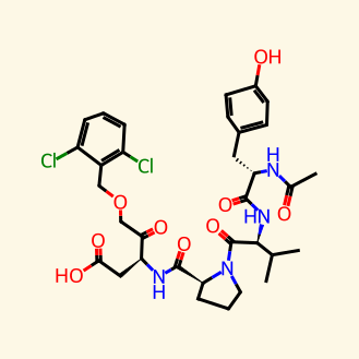 CC(=O)N[C@@H](Cc1ccc(O)cc1)C(=O)N[C@H](C(=O)N1CCC[C@H]1C(=O)N[C@@H](CC(=O)O)C(=O)COCc1c(Cl)cccc1Cl)C(C)C